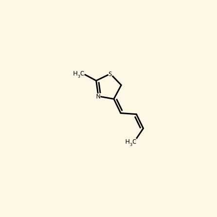 C/C=C\C=C1/CSC(C)=N1